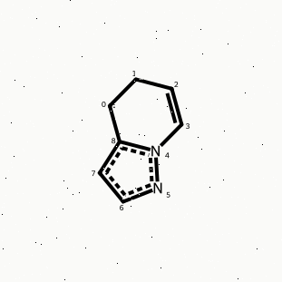 [C]1CC=Cn2nccc21